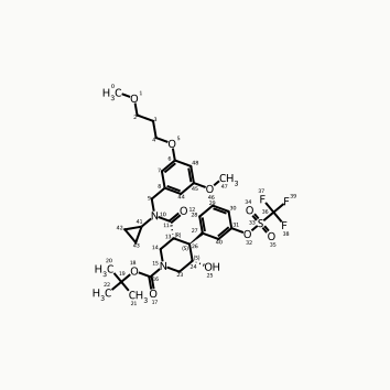 COCCCOc1cc(CN(C(=O)[C@H]2CN(C(=O)OC(C)(C)C)C[C@@H](O)[C@@H]2c2cccc(OS(=O)(=O)C(F)(F)F)c2)C2CC2)cc(OC)c1